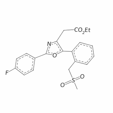 CCOC(=O)Cc1nc(-c2ccc(F)cc2)oc1-c1ccccc1CS(C)(=O)=O